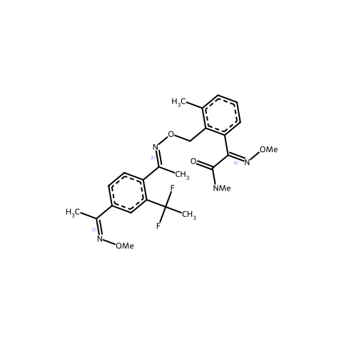 CNC(=O)/C(=N/OC)c1cccc(C)c1CO/N=C(\C)c1ccc(/C(C)=N\OC)cc1C(C)(F)F